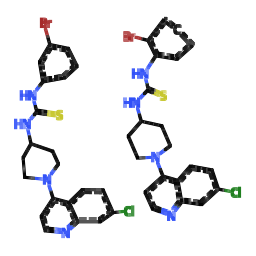 S=C(Nc1cccc(Br)c1)NC1CCN(c2ccnc3cc(Cl)ccc23)CC1.S=C(Nc1ccccc1Br)NC1CCN(c2ccnc3cc(Cl)ccc23)CC1